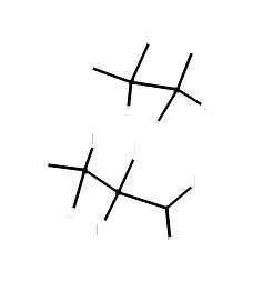 CC(F)(F)C(F)(F)F.FC(F)C(F)(F)C(F)(F)F